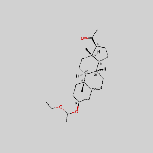 CCOC(C)O[C@H]1CC[C@@]2(C)C(=CC[C@H]3[C@@H]4CC[C@H](C(C)=O)[C@@]4(C)CC[C@@H]32)C1